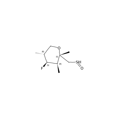 C[C@@H]1CO[C@](C)(C[SiH]=O)[C@@H](C)[C@H]1F